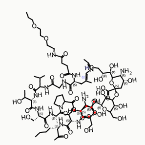 C/C=N\C=C(/C)C[C@H](NC(=O)CCC(=O)NCCOCCOCCC)C(=O)NCC(=O)NC(C(=O)N[C@H](C(=O)N[C@@H](CO)C(=O)N[C@@H](C)C(=O)N1CCCC1C(=O)N[C@@H](CC(=O)O)C(=O)N[C@H](C(=O)N[C@@H](CCCC)C(C)=O)C(C)O[C@H]1OC(CO)[C@H](O)[C@H](O[C@@H]2OC(CO)[C@H](O)C(O[C@]3(C(=O)O)C[C@@H](O)[C@@H](N)C([C@H](O)[C@H](O)CO)O3)[C@@H]2O)C1N)C(C)O)C(C)C